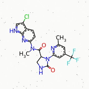 Cc1cc(C(F)(F)F)cc(N2C(=O)NCC2C(=O)N(C)c2ccc3c(Cl)c[nH]c3n2)n1